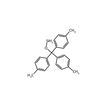 Cc1ccc(C(O[SiH3])(c2ccc(C)cc2)c2ccc(C)cc2)cc1